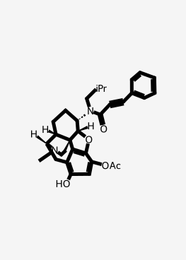 CC(=O)Oc1cc(O)c2c3c1O[C@H]1[C@@H](N(CC(C)C)C(=O)C#Cc4ccccc4)CC[C@H]4[C@@H](C2)N(C)CC[C@@]341